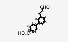 O=CCCc1cccc(-c2ccc(C(=O)O)nc2)c1